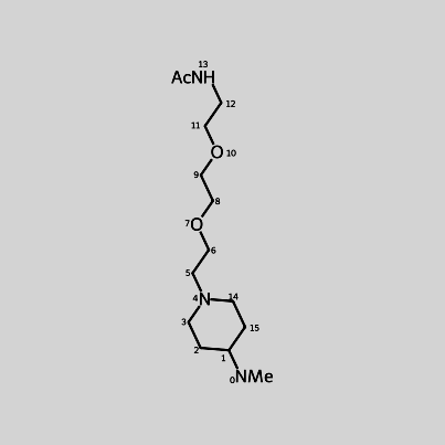 CNC1CCN(CCOCCOCCNC(C)=O)CC1